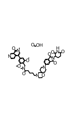 COc1cc(-c2cn(C)c(=O)c3cnccc23)cc(OC)c1CN(C)C(=O)CCCCN1CCOC2(CCN(c3ccc4c(c3)C(=O)N(C3CCC(=O)NC3=O)C4=O)CC2)C1.O=CO